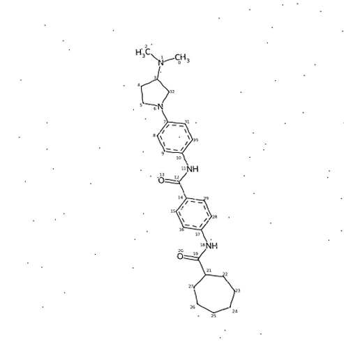 CN(C)C1CCN(c2ccc(NC(=O)c3ccc(NC(=O)C4CCCCCC4)cc3)cc2)C1